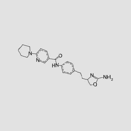 NC1=NC(CCc2ccc(NC(=O)c3ccc(N4CCCCC4)nc3)cc2)CO1